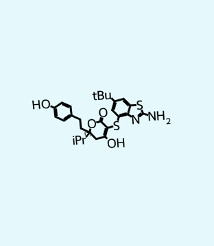 CC(C)[C@]1(CCc2ccc(O)cc2)CC(O)=C(Sc2cc(C(C)(C)C)cc3sc(N)nc23)C(=O)O1